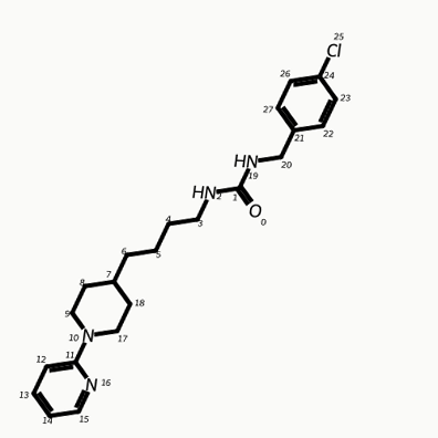 O=C(NCCCCC1CCN(c2ccccn2)CC1)NCc1ccc(Cl)cc1